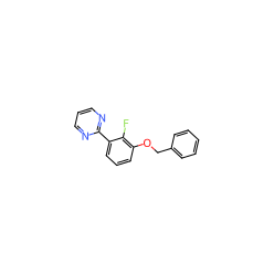 Fc1c(OCc2ccccc2)cccc1-c1ncccn1